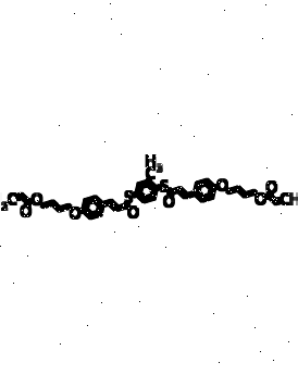 C=CC(=O)OCCCCOc1ccc(/C=C/C(=O)Sc2ccc(SC(=O)/C=C/c3ccc(OCCCCOC(=O)C=C)cc3)c(C)c2)cc1